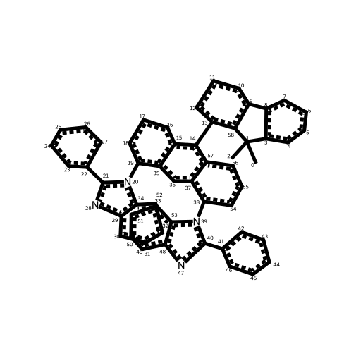 CC1(C)c2ccccc2-c2cccc(-c3c4cccc(-n5c(-c6ccccc6)nc6ccccc65)c4cc4c(-n5c(-c6ccccc6)nc6ccccc65)cccc34)c21